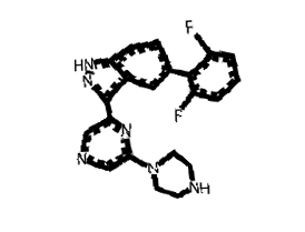 Fc1cccc(F)c1-c1ccc2[nH]nc(-c3cncc(N4CCNCC4)n3)c2c1